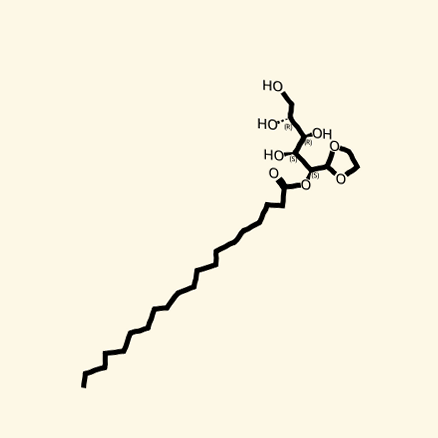 CCCCCCCCCCCCCCCCCCCC(=O)O[C@H](C1OCCO1)[C@@H](O)[C@H](O)[C@H](O)CO